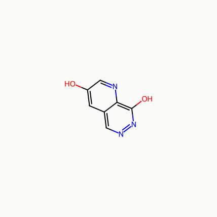 Oc1cnc2c(O)nncc2c1